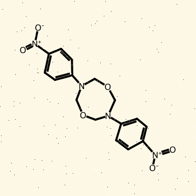 O=[N+]([O-])c1ccc(N2COCN(c3ccc([N+](=O)[O-])cc3)COC2)cc1